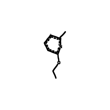 CCOc1cc[c]c(C)n1